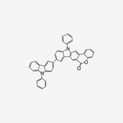 O=c1oc2ccccc2c2cc3c(cc12)c1cc(-c2ccc4c(c2)c2ccccc2n4-c2ccccc2)ccc1n3-c1ccccc1